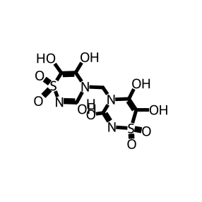 O=S1(=O)N=C(O)N(CN2C(O)=NS(=O)(=O)C(O)=C2O)C(O)=C1O